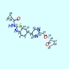 O=C(Nc1nc2ccc(-c3cnc(COC[C@@H]4CCCO4)nc3)cc2s1)C1CC1